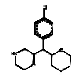 Clc1ccc(C(C2CNCCO2)C2CNCCO2)cc1